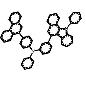 c1ccc(N(c2ccc(-c3cc4ccccc4c4ccccc34)cc2)c2cccc(-c3cc4ccccc4c4c3c3ccccc3n4-c3ccccc3)c2)cc1